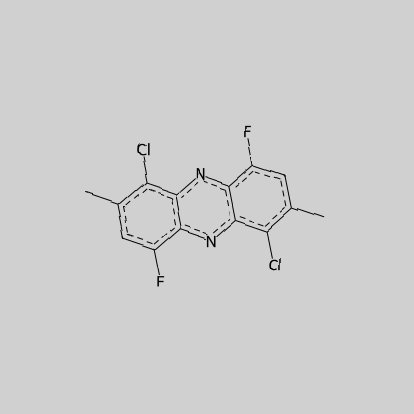 Cc1cc(F)c2nc3c(Cl)c(C)cc(F)c3nc2c1Cl